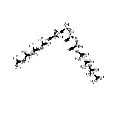 N#CB(O)O.N#CB(O)O.N#CB(O)O.N#CB(O)O.N=C(N)S.N=C(N)S.N=C(N)S.N=C(N)S.N=C(N)S.N=C(N)S.N=C(N)S.N=C(N)S